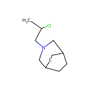 CC(Cl)CN1CC2CCC(CC2)C1